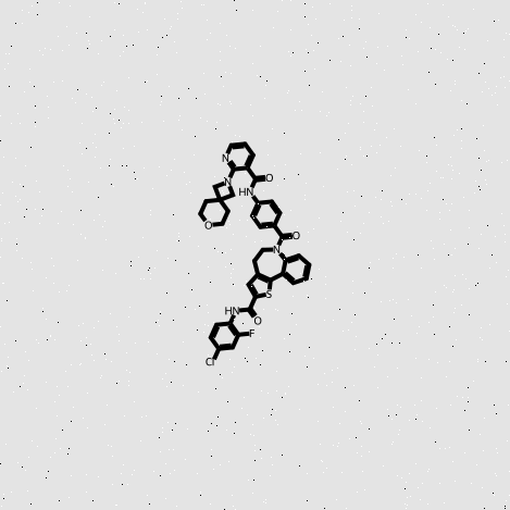 O=C(Nc1ccc(Cl)cc1F)c1cc2c(s1)-c1ccccc1N(C(=O)c1ccc(NC(=O)c3cccnc3N3CC4(CCOCC4)C3)cc1)CC2